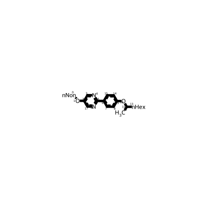 CCCCCCCCCOc1cnc(-c2ccc(OC(C)CCCCCC)cc2)nc1